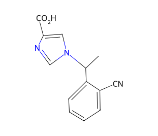 CC(c1ccccc1C#N)n1cnc(C(=O)O)c1